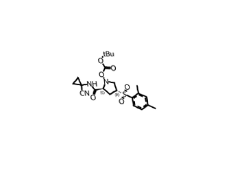 Cc1ccc(S(=O)(=O)[C@@H]2C[C@@H](C(=O)NC3(C#N)CC3)N(OC(=O)OC(C)(C)C)C2)c(C)c1